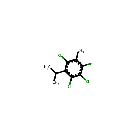 Cc1c(F)c(Cl)c(Cl)c(C(C)C)c1Cl